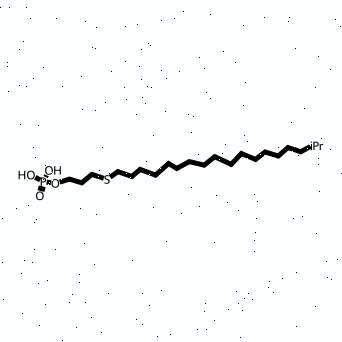 CC(C)CCCCCCCCCCCCCCCCSCCCOP(=O)(O)O